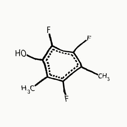 Cc1c(O)c(F)c(F)c(C)c1F